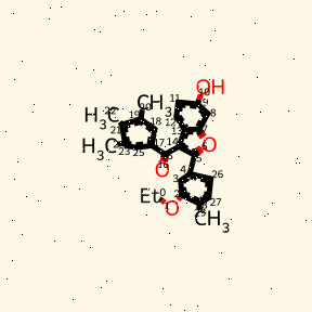 CCOc1cc(-c2oc3cc(O)ccc3c2C(=O)c2cc(C)c(C)c(C)c2)ccc1C